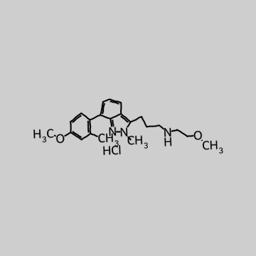 COCCNCCCc1c2cccc(-c3ccc(OC)cc3C)c2nn1C.Cl